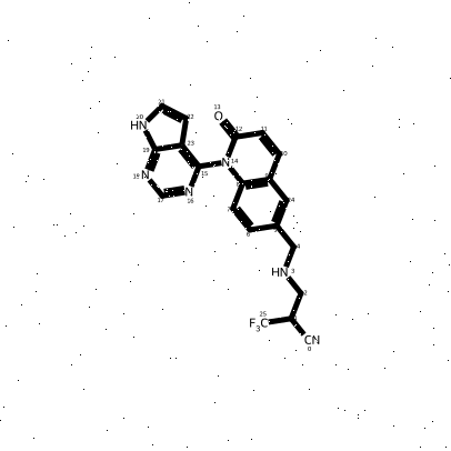 N#CC(CNCc1ccc2c(ccc(=O)n2-c2ncnc3[nH]ccc23)c1)C(F)(F)F